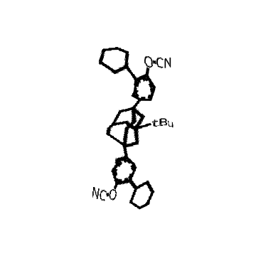 CC(C)(C)C12CC3CC(c4ccc(OC#N)c(C5CCCCC5)c4)(CC(c4ccc(OC#N)c(C5CCCCC5)c4)(C3)C1)C2